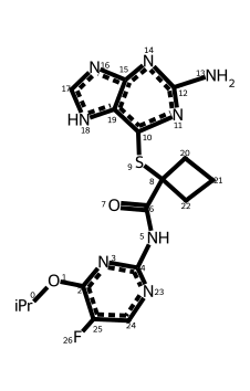 CC(C)Oc1nc(NC(=O)C2(Sc3nc(N)nc4nc[nH]c34)CCC2)ncc1F